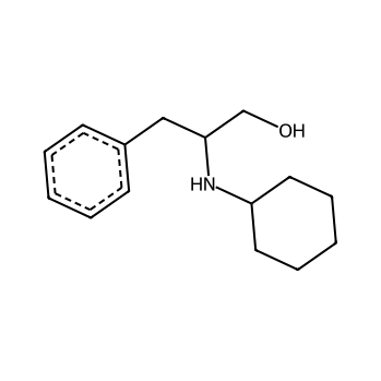 OCC(Cc1ccccc1)NC1CCCCC1